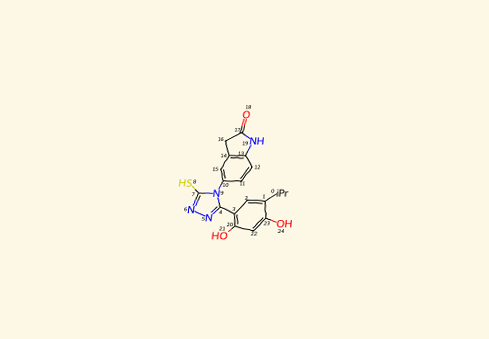 CC(C)c1cc(-c2nnc(S)n2-c2ccc3c(c2)CC(=O)N3)c(O)cc1O